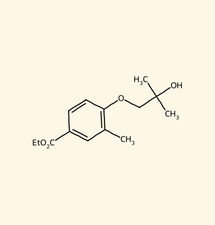 CCOC(=O)c1ccc(OCC(C)(C)O)c(C)c1